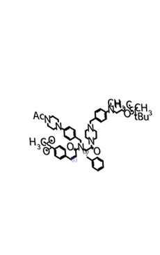 CC(=O)N1CCN(c2ccc(CN(C(=O)/C=C\c3ccc(S(C)(=O)=O)cc3)[C@@H](Cc3ccccc3)C(=O)N3CCN(Cc4ccc(N(C)CCO[Si](C)(C)C(C)(C)C)cc4)CC3)cc2)CC1